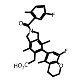 Cc1ccc(F)cc1C(=O)N1Cc2c(C)c(CC(=O)O)c(-c3cc(F)c4c(c3C)CCCO4)c(C)c2C1